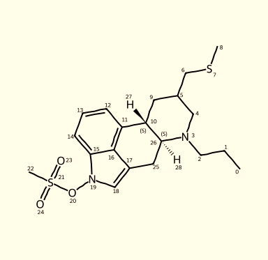 CCCN1CC(CSC)C[C@H]2c3cccc4c3c(cn4OS(C)(=O)=O)C[C@@H]21